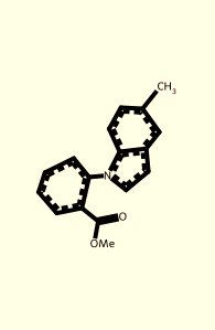 COC(=O)c1ccccc1-n1ccc2cc(C)ccc21